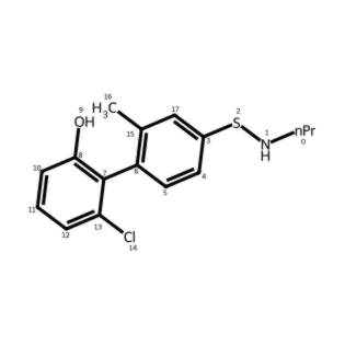 CCCNSc1ccc(-c2c(O)cccc2Cl)c(C)c1